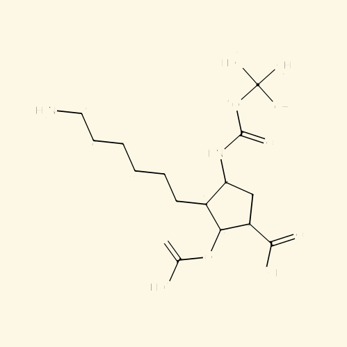 CC(=O)OC1C(C(=O)O)CC(NC(=O)OC(C)(C)C)C1CCCCCCN